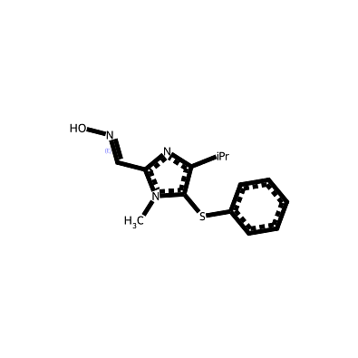 CC(C)c1nc(/C=N/O)n(C)c1Sc1ccccc1